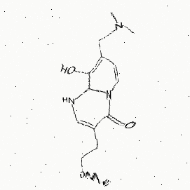 COCCC1=CNC2C(O)=C(CN(C)C)C=CN2C1=O